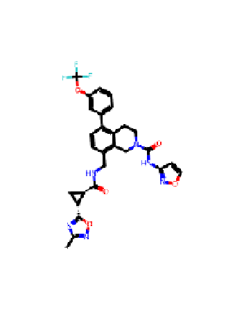 Cc1noc([C@@H]2C[C@H]2C(=O)NCc2ccc(-c3cccc(OC(F)(F)F)c3)c3c2CN(C(=O)Nc2ccon2)CC3)n1